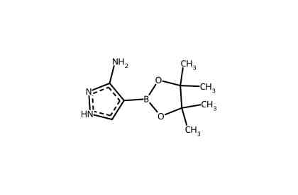 CC1(C)OB(c2c[nH]nc2N)OC1(C)C